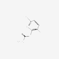 CNC(=O)Oc1nc(N)ccc1F